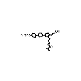 C=C(C)C(=O)OCCCc1cc(C2CCC(C3CCC(CCCCC)CC3)CC2)ccc1CCCO